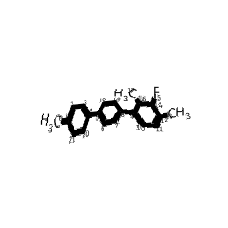 CC1=CC=C(C2=CCC(C3=CC=C(C)C(F)C3C)C=C2)CC1